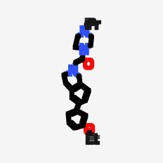 CCOc1cccc(-c2ccc3c(c2)CCN(CC(=O)N2CCN(C(C)C)CC2)C3)c1